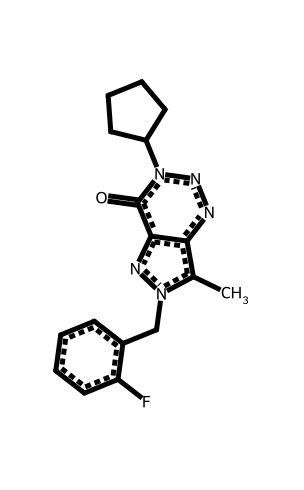 Cc1c2nnn(C3CCCC3)c(=O)c2nn1Cc1ccccc1F